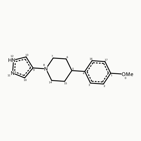 COc1ccc(C2CCN(c3cn[nH]c3)CC2)cc1